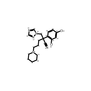 N#CC(CCCN1CCCCC1)(Cn1cncn1)c1ccc(Cl)cc1Cl